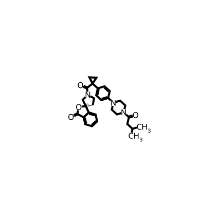 CC(C)CC(=O)N1CCN(c2ccc(C3(C(=O)N4CC[C@@]5(C4)OC(=O)c4ccccc45)CC3)cc2)CC1